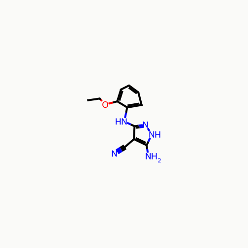 CCOc1ccccc1Nc1n[nH]c(N)c1C#N